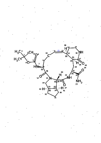 CC(C)(C)OC(=O)N[C@H]1CC/C=C\[C@H]2CCNC(=O)[C@H]2C[C@@H](C(N)=O)NC(=O)[C@@H]2[C@H]3CCC[C@H]3CN2C1=O